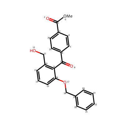 COC(=O)c1ccc(C(=O)c2c(CO)cccc2OCc2ccccc2)cc1